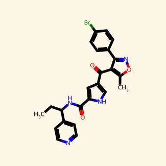 CCC(NC(=O)c1cc(C(=O)c2c(-c3ccc(Br)cc3)noc2C)c[nH]1)c1ccncc1